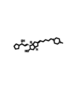 CN1CCN(CCCC/C=C2\C[C@H]3C[C@@H](O)[C@H](/C=C/[C@@H](O)C4CCCC4)[C@H]3C2)CC1